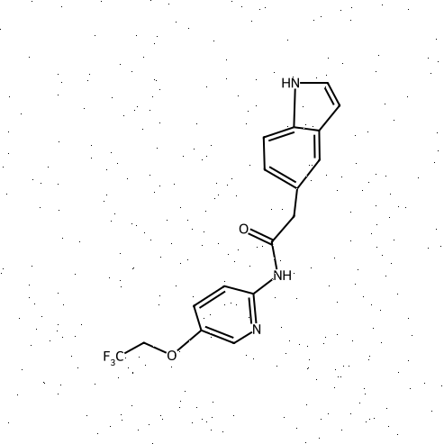 O=C(Cc1ccc2[nH]ccc2c1)Nc1ccc(OCC(F)(F)F)cn1